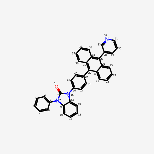 O=c1n(-c2ccccc2)c2ccccc2n1-c1ccc(-c2c3ccccc3c(-c3cccnc3)c3ccccc23)cc1